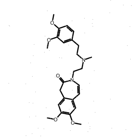 COc1ccc(CCN(C)CCN2C=Cc3cc(OC)c(OC)cc3CC2=O)cc1OC